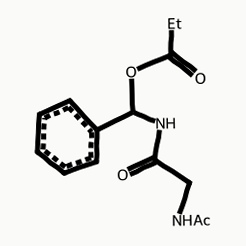 CCC(=O)OC(NC(=O)CNC(C)=O)c1ccccc1